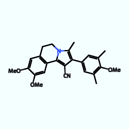 COc1cc2c(cc1OC)-c1c(C#N)c(-c3cc(C)c(OC)c(C)c3)c(C)n1CC2